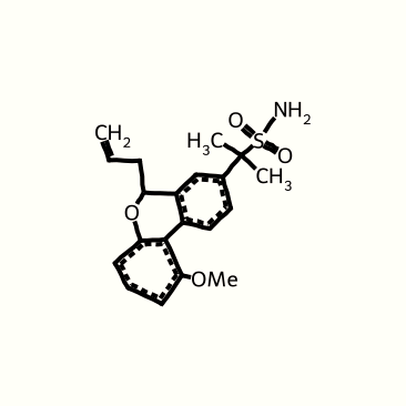 C=CCC1Oc2cccc(OC)c2-c2ccc(C(C)(C)S(N)(=O)=O)cc21